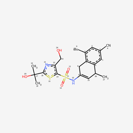 CCC(C)c1cc(C#N)cc2c1CC(NS(=O)(=O)c1sc(C(C)(C)O)nc1CO)=CC2C